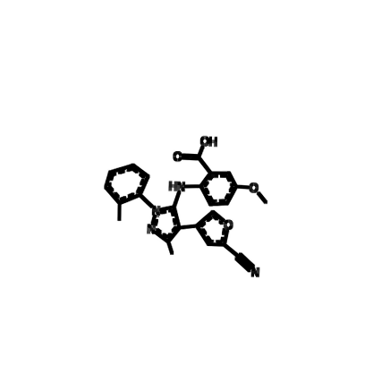 COc1ccc(Nc2c(-c3coc(C#N)c3)c(C)nn2-c2ccccc2C)c(C(=O)O)c1